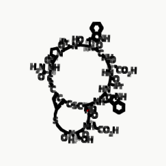 CC(C)C1NC(=O)[C@H](Cc2c[nH]c3ccccc23)NC(=O)[C@@H]2CSCc3cc(cc(c3)CSC[C@@H](C(N)=O)NC(=O)[C@@H]3CCCN3C(=O)C(C(C)C)NC(=O)[C@H](Cc3c[nH]c4ccccc34)NC(=O)CNC(=O)[C@H](CC(=O)O)NC1=O)CSCCC(=O)N[C@@H]([C@@H](C)O)C(=O)N[C@@H](CCC(=O)O)C(=O)N2